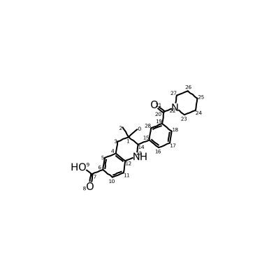 CC1(C)Cc2cc(C(=O)O)ccc2NC1c1cccc(C(=O)N2CCCCC2)c1